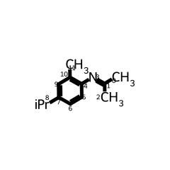 CC(C)=Nc1ccc(C(C)C)cc1C